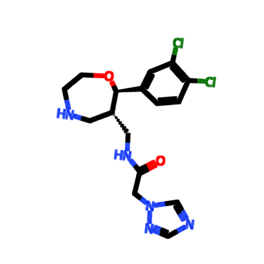 O=C(Cn1cncn1)NC[C@@H]1CNCCO[C@H]1c1ccc(Cl)c(Cl)c1